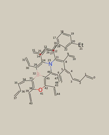 C=C\C=C/C=C(C=C)/C(C=C)=C(/C(=C\C=C)c1cccc(CC)c1)N1C(/C=C\C=C)=C(C=C)B2C(/C=C\C=C)=C(C=C)OC(C=C)=C2/C1=C\C